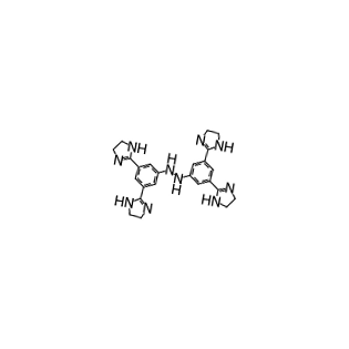 c1c(NNc2cc(C3=NCCN3)cc(C3=NCCN3)c2)cc(C2=NCCN2)cc1C1=NCCN1